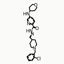 O=C(N/N=C/C1CCN(Cc2ccccc2Cl)CC1)c1ccc(NC2CCOCC2)cn1